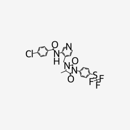 CC1C(=O)N(c2ccc(SC(F)(F)F)cc2)C(=O)N1Cc1ccncc1NC(=O)c1ccc(Cl)cc1